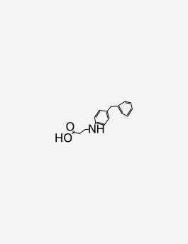 O=C(O)CCNc1ccc(Cc2ccccc2)cc1